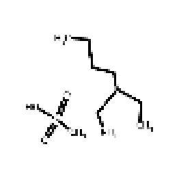 CCCCC(CC)CN.CS(=O)(=O)O